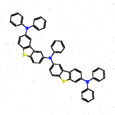 c1ccc(N(c2ccccc2)c2ccc3c(c2)sc2ccc(N(c4ccccc4)c4ccc5sc6ccc(N(c7ccccc7)c7ccccc7)cc6c5c4)cc23)cc1